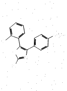 COc1ccc(-c2nc(S)oc2-c2ccccc2Cl)cc1